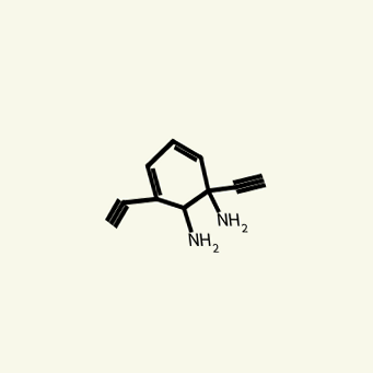 C#CC1=CC=CC(N)(C#C)C1N